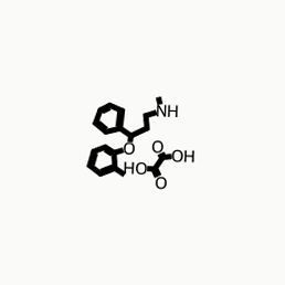 CNCCC(Oc1ccccc1C)c1ccccc1.O=C(O)C(=O)O